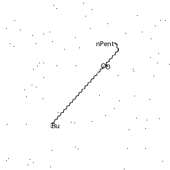 CCCCC/C=C\C/C=C\CCCCCCCC(=O)OCCCCCCCCCCCCCCCCCCCCCCCCCCCCCCCCCCC(C)CC